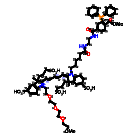 COCCOCCOCCOCC[N+]1=C(/C=C/C=C/C=C2/N(CCCCCC(=O)NCCNC(=O)c3ccc(C(=O)OC)c(P(c4ccccc4)c4ccccc4)c3)c3ccc(S(=O)(=O)O)cc3C2(C)CCCS(=O)(=O)O)C(C)(CCCS(=O)(=O)O)c2cc(S(=O)(=O)O)ccc21